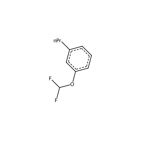 CCCc1cccc(OC(F)F)c1